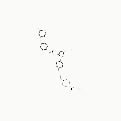 Cc1cc(Oc2ccc(NC(=O)Nc3cc(C(C)(C)C)nn3-c3ccc(OCCC4CCN(C(=O)OC(C)(C)C)CC4)cc3)c(F)c2)ccn1